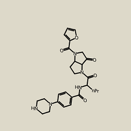 CCCC(NC(=O)c1ccc(N2CCNCC2)cc1)C(=O)N1CCC2C1C(=O)CN2C(=O)c1ccco1